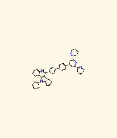 C1=CC(c2ccc(-c3nc4ccccc4c4c3c3ccccc3n4-c3ccccc3)cc2)CC=C1c1cc(-c2ccccn2)nc(-c2ccccn2)c1